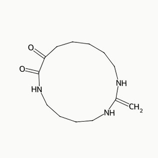 C=C1NCCCCCC(=O)C(=O)NCCCCN1